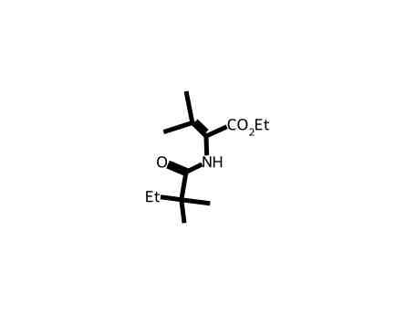 CCOC(=O)C(NC(=O)C(C)(C)CC)=C(C)C